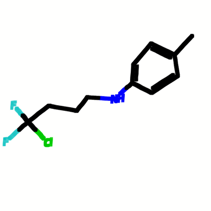 Cc1ccc(NCCCC(F)(F)Cl)cc1